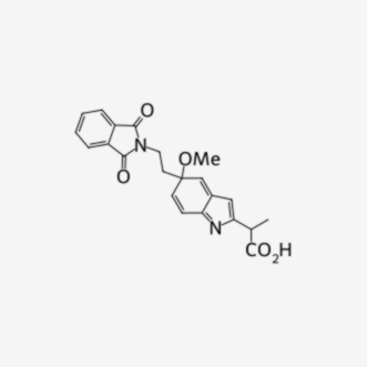 COC1(CCN2C(=O)c3ccccc3C2=O)C=CC2=NC(C(C)C(=O)O)=CC2=C1